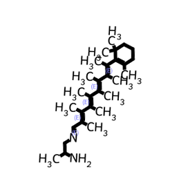 CC1=C(/C(C)=C(C)/C(C)=C(C)/C(C)=C(C)/C(C)=C(C)/C=N/CC(C)N)C(C)(C)CCC1